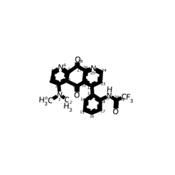 CN(C)c1ccnc2c1C(=O)c1c(-c3ccccc3NC(=O)C(F)(F)F)ccnc1C2=O